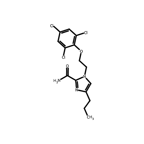 CCCc1cn(CCOc2c(Cl)cc(Cl)cc2Cl)c(C(N)=O)n1